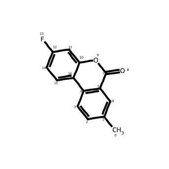 Cc1ccc2c(c1)c(=O)oc1cc(F)ccc12